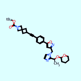 C[C@H](OC1CCCCO1)c1nccn1Cc1cc(-c2ccc(C#CC3CC4(C3)CN(C(=O)OC(C)(C)C)C4)cc2)on1